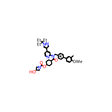 CCC(CC)(CC)n1cc(-c2ccnc(N(CC34CCC(c5ccc(OC)c(C)c5)(CC3)CC4)C(=O)C3CCC(OC(=O)N4CC(O)C4)CC3)c2)cn1